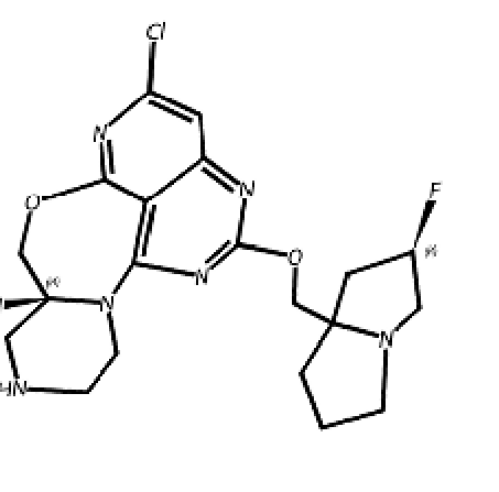 F[C@H]1CN2CCCC2(COc2nc3c4c(nc(Cl)cc4n2)OC[C@H]2CNCCN32)C1